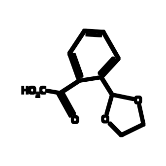 O=C(O)C(=O)c1ccccc1C1OCCO1